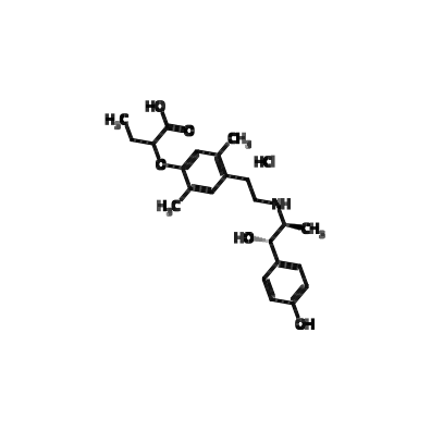 CCC(Oc1cc(C)c(CCN[C@@H](C)[C@@H](O)c2ccc(O)cc2)cc1C)C(=O)O.Cl